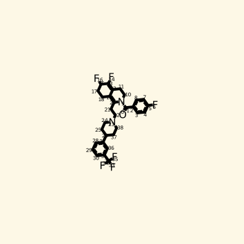 O=C(c1ccc(F)cc1)N1CCC2=C(F)C(F)CCC2=C1CCN1CCC(c2cccc(C(F)(F)F)c2)CC1